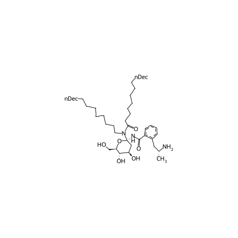 CCCCCCCCCCCCCCCCCCN(C(=O)CCCCCCCCCCCCCCCCC)[C@@]1(NC(=O)c2ccccc2C[C@@H](C)N)C[C@@H](O)[C@H](O)[C@@H](CO)O1